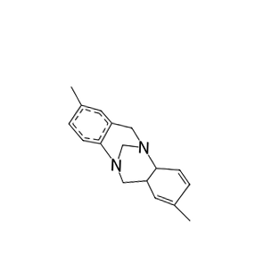 CC1=CC2CN3CN(Cc4cc(C)ccc43)C2C=C1